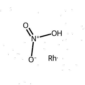 O=[N+]([O-])O.[Rh]